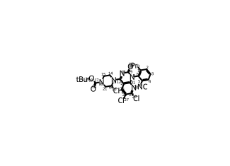 CC(C)c1cccc(C#N)c1-n1c(=O)nc(N2CCN(C(=O)OC(C)(C)C)C[C@@H]2C)c2cc(Cl)c(Cl)nc21